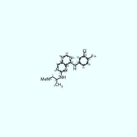 CNCC(C)Nc1ncc2ncnc(Nc3ccc(F)c(Cl)c3)c2n1